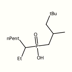 CCCCCC(CC)P(=O)(O)CC(C)CC(C)(C)C